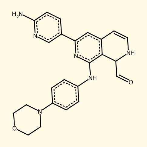 Nc1ccc(-c2cc3c(c(Nc4ccc(N5CCOCC5)cc4)n2)C(C=O)NC=C3)cn1